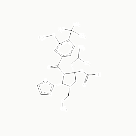 COC[C@@H]1C[C@](CC(C)C)(OC(=O)O)N(C(=O)c2ccc(C(C)(C)C)c(OC)c2)[C@H]1c1nccs1